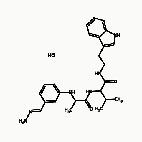 CC(Nc1cccc(C=NN)c1)C(=O)NC(C(=O)NCCc1c[nH]c2ccccc12)C(C)C.Cl